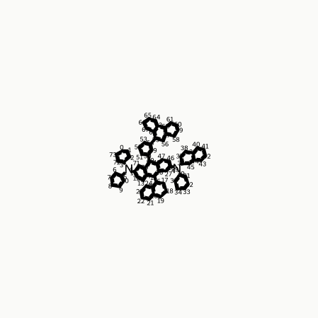 c1ccc(N(c2ccccc2)c2ccc3c(-c4cccc5ccccc45)c4cc(N(c5ccccc5)c5ccc6ccccc6c5)ccc4c(-c4cccc(-c5cc6ccccc6c6ccccc56)c4)c3c2)cc1